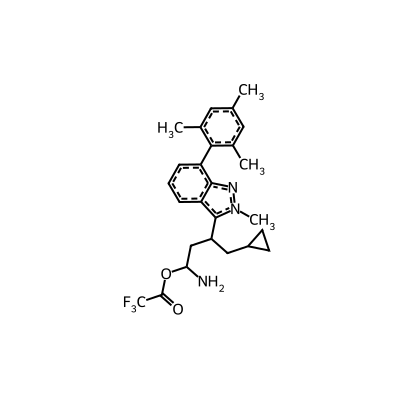 Cc1cc(C)c(-c2cccc3c(C(CC4CC4)CC(N)OC(=O)C(F)(F)F)n(C)nc23)c(C)c1